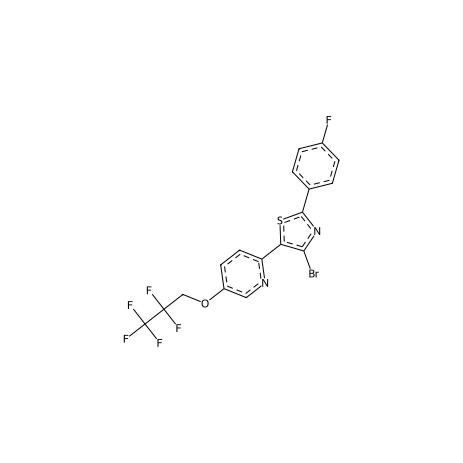 Fc1ccc(-c2nc(Br)c(-c3ccc(OCC(F)(F)C(F)(F)F)cn3)s2)cc1